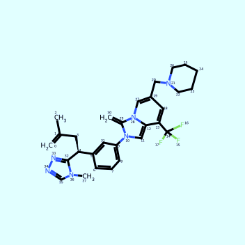 C=C(C)C[C@@H](c1cccc(N2C=C3C(C(F)(F)F)=CC(CN4CCCCC4)=CN3C2=C)c1)c1nncn1C